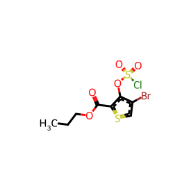 CCCOC(=O)c1scc(Br)c1OS(=O)(=O)Cl